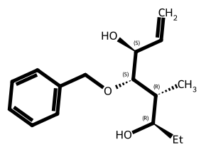 C=C[C@H](O)[C@@H](OCc1ccccc1)[C@H](C)[C@H](O)CC